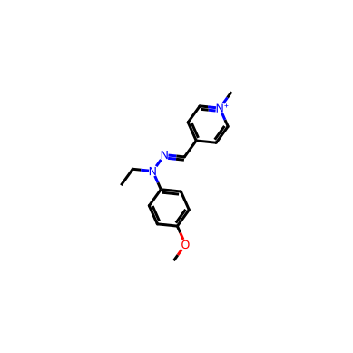 CCN(N=Cc1cc[n+](C)cc1)c1ccc(OC)cc1